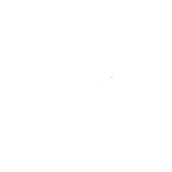 C=COCCCCCC.Cc1cc(C(=O)O)cc(C(=O)O)c1